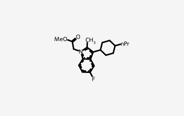 CCCC1CCC(c2c(C)n(CC(=O)OC)c3ccc(F)cc23)CC1